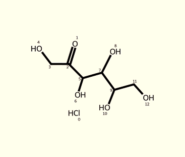 Cl.O=C(CO)C(O)C(O)C(O)CO